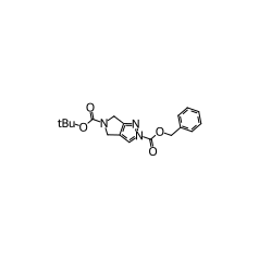 CC(C)(C)OC(=O)N1Cc2cn(C(=O)OCc3ccccc3)nc2C1